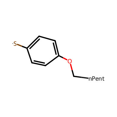 CCCCCCOc1ccc([S])cc1